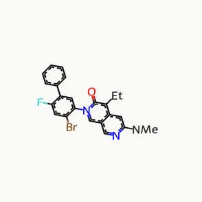 CCc1c(=O)n(-c2cc(-c3ccccc3)c(F)cc2Br)cc2cnc(NC)cc12